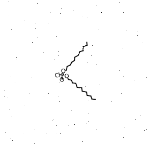 CCCCCCCCCCCCOP(=O)(Cl)OCCCCCCCCCCCC